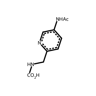 CC(=O)Nc1ccc(CNC(=O)O)nc1